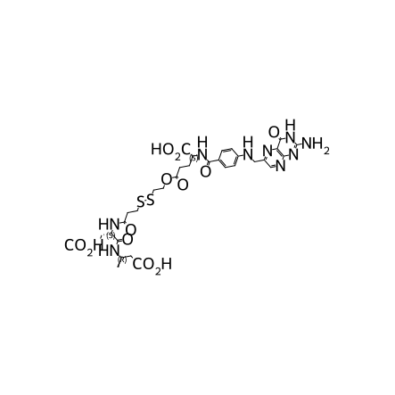 C[C@H](CC(=O)O)NC(=O)[C@H](CC(=O)O)NC(=O)CCSSCCOC(=O)CC[C@H](NC(=O)c1ccc(NCc2cnc3nc(N)[nH]c(=O)c3n2)cc1)C(=O)O